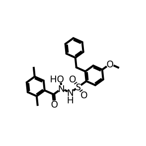 COc1ccc(S(=O)(=O)NN(O)C(=O)c2cc(C)ccc2C)c(Cc2ccccc2)c1